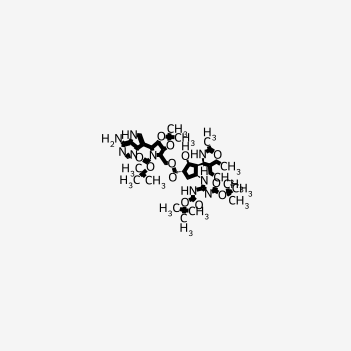 CCC(CC)[C@H](NC(C)=O)[C@@H]1[C@H](O)[C@@H](C(=O)OCC2C3OC(C)(C)OC3C(c3c[nH]c4c(N)ncnc34)N2C(=O)OC(C)(C)C)C[C@H]1N/C(=N\C(=O)OC(C)(C)C)NC(=O)OC(C)(C)C